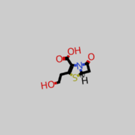 O=C(O)C1=C(CCO)S[C@@H]2CC(=O)N12